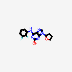 Oc1nc(Nc2cccc(F)c2F)c2ncn(C3CCCO3)c2n1